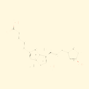 O=C(O)CCCCC1=C[C@@H]2C[C@@H](O)[C@H](C=CCC3CC[C@@H](O)C3)[C@@H]2C1